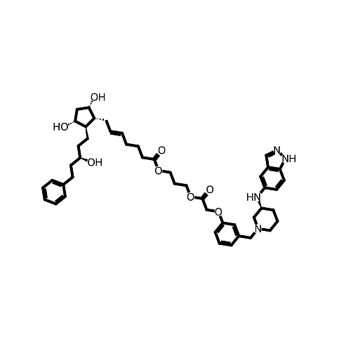 O=C(CCCC=CC[C@@H]1[C@@H](CC[C@@H](O)CCc2ccccc2)[C@H](O)C[C@@H]1O)OCCCOC(=O)COc1cccc(CN2CCC[C@H](Nc3ccc4[nH]ncc4c3)C2)c1